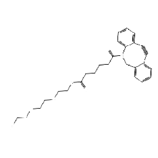 NCCOCCOCCNC(=O)CCCCC(=O)N1Cc2ccccc2C#Cc2ccccc21